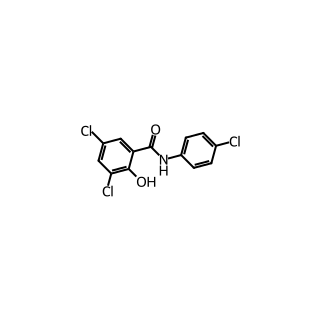 O=C(Nc1ccc(Cl)cc1)c1cc(Cl)cc(Cl)c1O